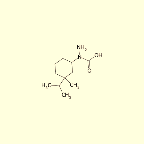 CC(C)C1(C)CCCC(N(N)C(=O)O)C1